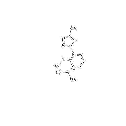 COc1c(-c2ncc(C)s2)cccc1C(C)C